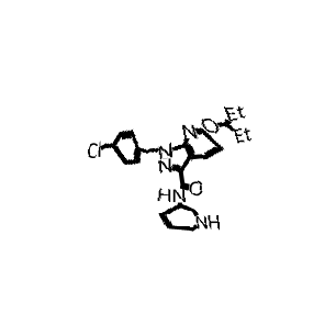 CCC(CC)Oc1ccc2c(C(=O)NC3CCCNC3)nn(Cc3ccc(Cl)cc3)c2n1